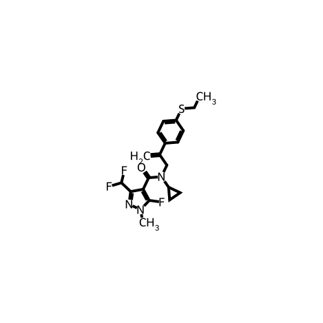 C=C(CN(C(=O)c1c(C(F)F)nn(C)c1F)C1CC1)c1ccc(SCC)cc1